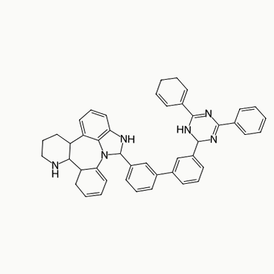 C1=CCC2C(=C1)N1c3c(cccc3C3CCCNC23)NC1c1cccc(-c2cccc(C3N=C(c4ccccc4)N=C(C4=CCCC=C4)N3)c2)c1